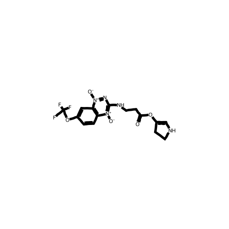 O=C(CCNc1n[n+]([O-])c2cc(OC(F)(F)F)ccc2[n+]1[O-])OC1=CNCC1